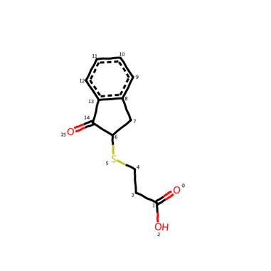 O=C(O)CCSC1Cc2ccccc2C1=O